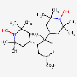 CC1(C)CC([C@H]2C[C@H](C(=O)O)CCC2(C(=O)O)C2CC(C)(C)N(O)C(C)(C)C2)CC(C)(C)N1O